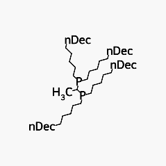 CCCCCCCCCCCCCCCP(CCCCCCCCCCCCCCC)C(C)P(CCCCCCCCCCCCCCC)CCCCCCCCCCCCCCC